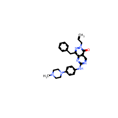 C=CCn1nc(Cc2ccccc2)c2nc(Nc3ccc(N4CCN(C)CC4)cc3)ncc2c1=O